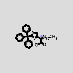 CO/N=C(\C(=O)Cl)c1csc(C(c2ccccc2)(c2ccccc2)c2ccccc2)n1